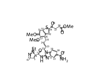 CCn1nc(C)cc1C(=O)Nc1nc2cc(C(N)=O)ccc2n1C/C=C/Cc1c(OC)c(OC)cc2sc(C(=O)CCC(=O)OC)cc12